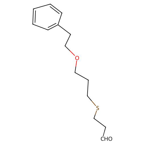 O=CCCSCCCOCCc1ccccc1